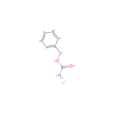 O=C(N=S)OCc1ccccc1